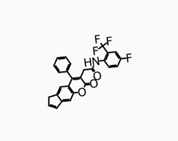 O=C(Cc1c(-c2ccccc2)c2cc3c(cc2oc1=O)C=CC3)Nc1ccc(F)cc1C(F)(F)F